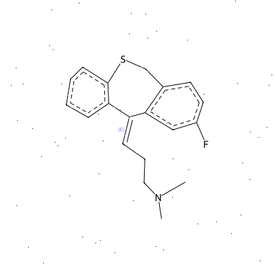 CN(C)CC/C=C1\c2cc(F)ccc2CSc2ccccc21